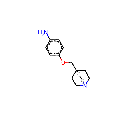 Nc1ccc(OCC23CCN(CC2)CC3)cc1